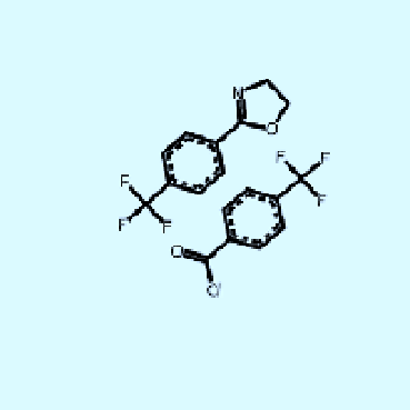 FC(F)(F)c1ccc(C2=NCCO2)cc1.O=C(Cl)c1ccc(C(F)(F)F)cc1